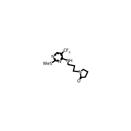 CSc1ncc(C(F)(F)F)c(NCCCN2CCCC2=O)n1